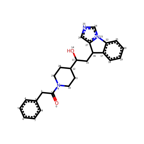 O=C(Cc1ccccc1)N1CCC(C(O)CC2c3ccccc3-n3cncc32)CC1